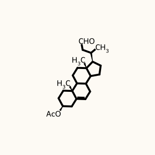 CC(=O)O[C@H]1CC[C@@]2(C)C(=CCC3C2CC[C@@]2(C)C3CC[C@@H]2C(C)CC=O)C1